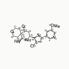 COc1cncc(-c2cc(Cl)c([C@@H]3C[S+]([O-])C4(CCOCC4)C(=N)N3)s2)c1